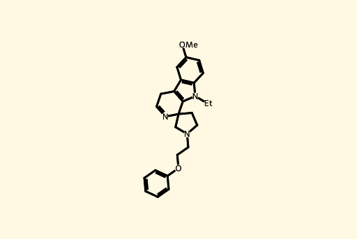 CCn1c2c(c3cc(OC)ccc31)CC=NC21CCN(CCOc2ccccc2)C1